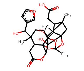 CC12OC34C5CC(=O)OC3C3(O)C(O)C6(C)CC3(O1)C(C)(C6CC(=O)O)C4(CCC5(C)C(O)c1ccoc1)O2